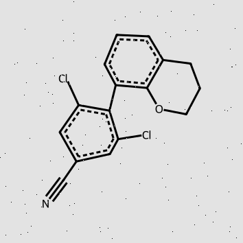 N#Cc1cc(Cl)c(-c2cccc3c2OCCC3)c(Cl)c1